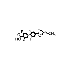 CCCC1COC(c2cc(F)c(-c3cc(F)c(C(=O)O)c(F)c3)c(F)c2)OC1